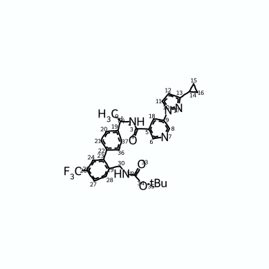 C[C@@H](NC(=O)c1cncc(-n2ccc(C3CC3)n2)c1)c1ccc(-c2cc(C(F)(F)F)ccc2CNC(=O)OC(C)(C)C)cc1